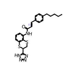 CCCCCc1ccc(/C=C/C(=O)Nc2cccc3c2SCC(c2nnn[nH]2)S3)cc1